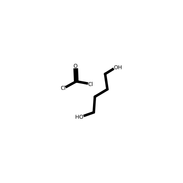 O=C(Cl)Cl.OCCCCO